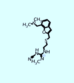 C/N=C(\NC#N)NCCSCc1cc2cccc(CN(C)C)c2o1